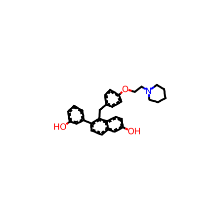 Oc1cccc(-c2ccc3cc(O)ccc3c2Cc2ccc(OCCN3CCCCC3)cc2)c1